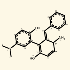 CN(C)c1ccc(O)c(C2=C(O)C=CC(N)C2=Cc2ccccc2)c1